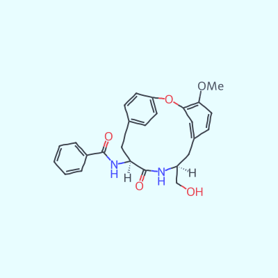 COc1ccc2cc1Oc1ccc(cc1)C[C@H](NC(=O)c1ccccc1)C(=O)N[C@H](CO)C2